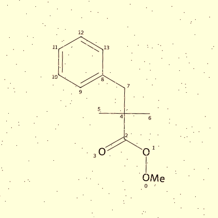 COOC(=O)C(C)(C)Cc1ccccc1